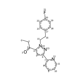 CCC(=O)c1cc(-c2ccccn2)nn1CCc1ccc(F)cc1